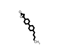 CCCCCC1CCC(C2CCC(C3=CC(=O)O3)CC2)CC1